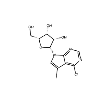 OC[C@H]1O[C@@H](n2cc(I)c3c(Cl)ncnc32)[C@@H](O)[C@H]1O